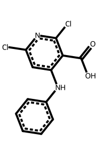 O=C(O)c1c(Nc2ccccc2)cc(Cl)nc1Cl